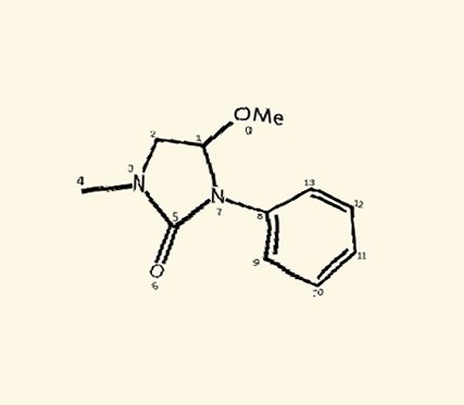 COC1CN(C)C(=O)N1c1ccccc1